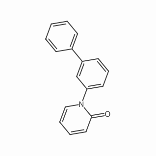 O=c1ccccn1-c1cccc(-c2ccccc2)c1